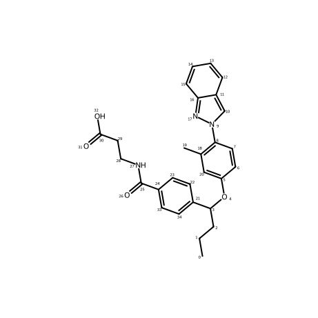 CCCC(Oc1ccc(-n2cc3ccccc3n2)c(C)c1)c1ccc(C(=O)NCCC(=O)O)cc1